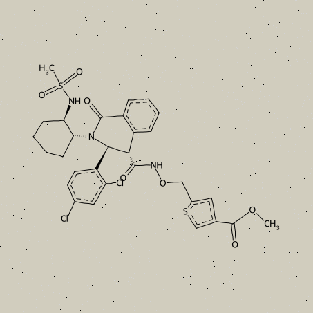 COC(=O)c1csc(CONC(=O)[C@H]2c3ccccc3C(=O)N([C@@H]3CCCC[C@H]3NS(C)(=O)=O)[C@@H]2c2ccc(Cl)cc2Cl)c1